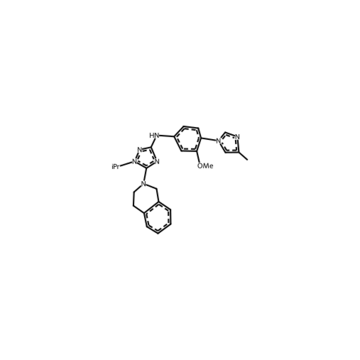 COc1cc(Nc2nc(N3CCc4ccccc4C3)n(C(C)C)n2)ccc1-n1cnc(C)c1